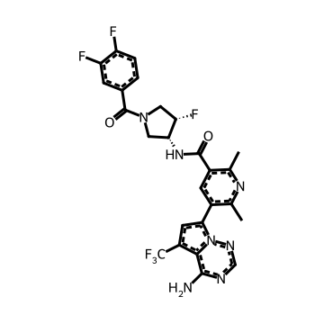 Cc1nc(C)c(-c2cc(C(F)(F)F)c3c(N)ncnn23)cc1C(=O)N[C@@H]1CN(C(=O)c2ccc(F)c(F)c2)C[C@@H]1F